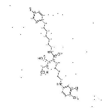 Cc1ccc(NCCCCOC(C(=O)NCCCCCCCc2ccc(F)cc2)C(OCC(=O)O)C(=O)O)cc1Cl